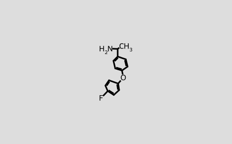 CC(N)c1ccc(Oc2ccc(F)cc2)cc1